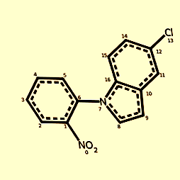 O=[N+]([O-])c1ccccc1-n1ccc2cc(Cl)ccc21